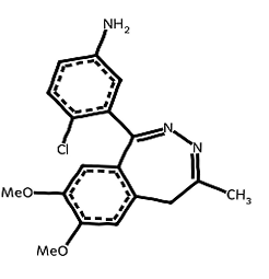 COc1cc2c(cc1OC)C(c1cc(N)ccc1Cl)=NN=C(C)C2